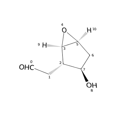 O=CC[C@@H]1[C@H]2O[C@H]2C[C@H]1O